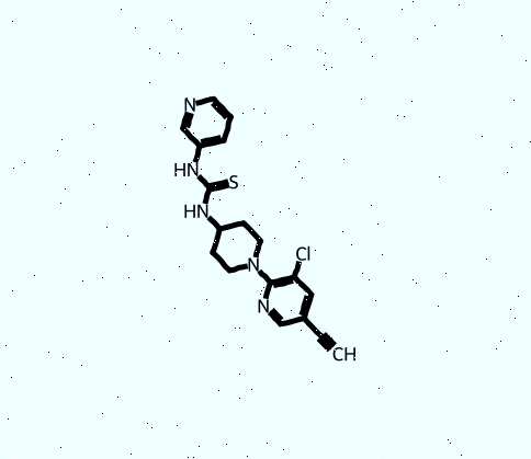 C#Cc1cnc(N2CCC(NC(=S)Nc3cccnc3)CC2)c(Cl)c1